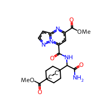 COC(=O)c1cc(C(=O)NC(C(N)=O)C23CCC(C(=O)OC)(CC2)CC3)n2nccc2n1